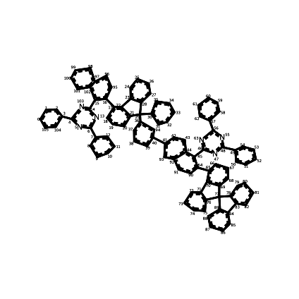 c1ccc(-c2nc(-c3ccccc3)nc(-c3c(-c4cccc5c4-c4ccccc4C5(c4ccccc4)c4cccc(-c5ccc6c(-c7nc(-c8ccccc8)nc(-c8ccccc8)n7)c(-c7cccc8c7-c7ccccc7C87c8ccccc8-c8ccccc87)ccc6c5)c4)ccc4ccccc34)n2)cc1